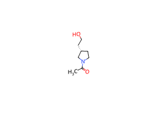 CC(=O)N1CC[C@@H](CCO)C1